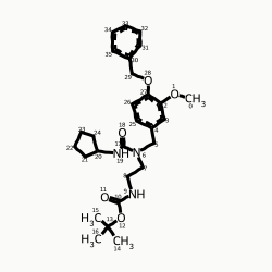 COc1cc(CN(CCNC(=O)OC(C)(C)C)C(=O)NC2CCCC2)ccc1OCc1ccccc1